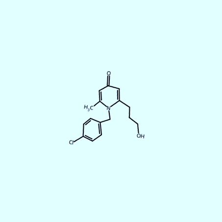 Cc1cc(=O)cc(CCCO)n1Cc1ccc(Cl)cc1